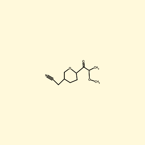 CON(C)C(=O)C1CCC(CC#N)CO1